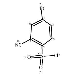 CCc1ccc(S(=O)(=O)Cl)c(C#N)c1